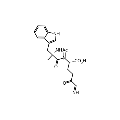 CC(=O)N[C@](C)(Cc1c[nH]c2ccccc12)C(=O)N[C@@H](CCC(=O)C=N)C(=O)O